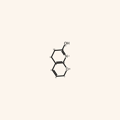 OC1=NC2=C(C=CCO2)CC1